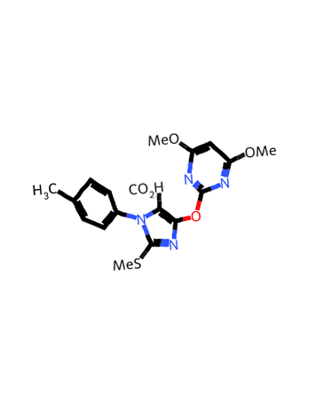 COc1cc(OC)nc(Oc2nc(SC)n(-c3ccc(C)cc3)c2C(=O)O)n1